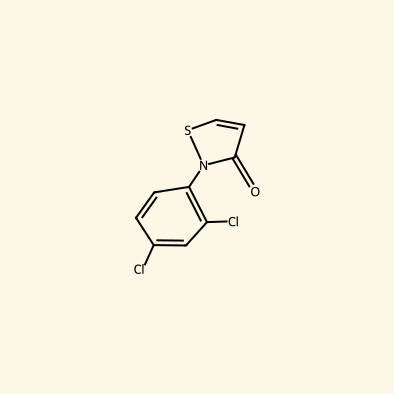 O=c1ccsn1-c1ccc(Cl)cc1Cl